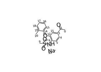 CC(=O)c1ccc(NS(C)(=O)=O)c(Oc2ccccc2C)c1.[Na]